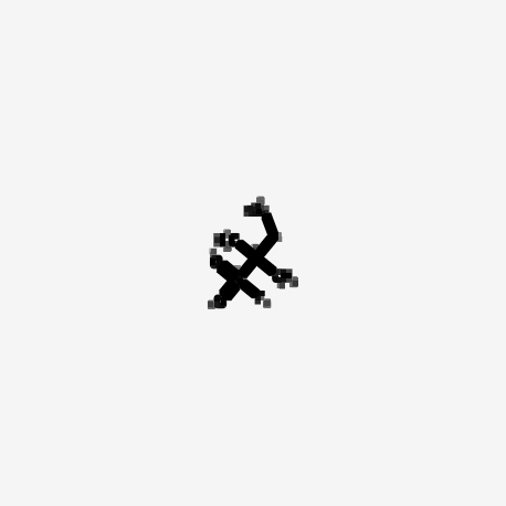 CCCCCC(C)(C)S(=O)(=O)F